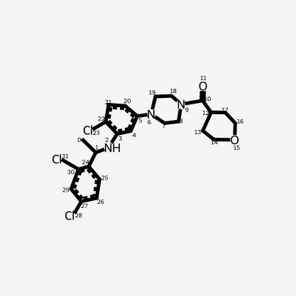 CC(Nc1cc(N2CCN(C(=O)C3CCOCC3)CC2)ccc1Cl)c1ccc(Cl)cc1Cl